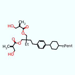 C=C(CO)C(=O)OCC(CC)(CCc1ccc(C2CCC(CCCCC)CC2)cc1)COC(=O)C(=C)CO